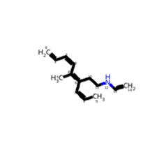 C=C\C=C/C(C)=C(/C=C\C)CCNC=C